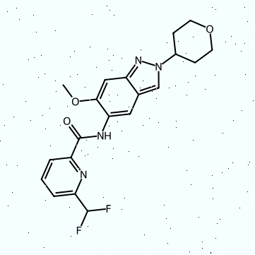 COc1cc2nn(C3CCOCC3)cc2cc1NC(=O)c1cccc(C(F)F)n1